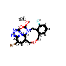 CC(C)(C)OC(=O)N1Cc2c(F)cccc2COCc2cc(Br)c3nncn3c21